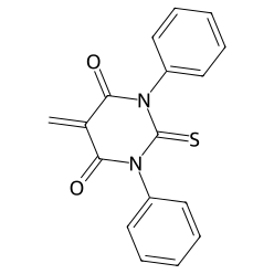 C=C1C(=O)N(c2ccccc2)C(=S)N(c2ccccc2)C1=O